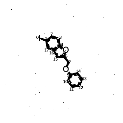 Ic1ccc2oc(COc3ccccc3)cc2c1